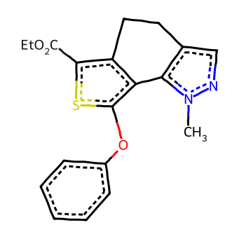 CCOC(=O)c1sc(Oc2ccccc2)c2c1CCc1cnn(C)c1-2